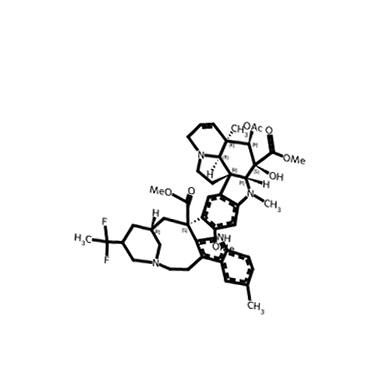 COC(=O)[C@]1(c2cc3c(cc2OC)N(C)[C@H]2[C@@](O)(C(=O)OC)[C@H](OC(C)=O)[C@]4(C)C=CCN5CC[C@]32[C@@H]54)C[C@H]2CC(C(C)(F)F)CN(CCc3c1[nH]c1ccc(C)cc31)C2